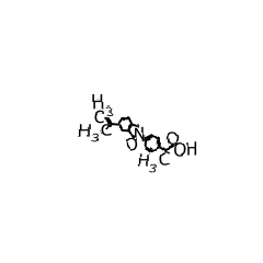 C/C=C(\C)c1ccc2c(c1)C(=O)N(c1ccc(C(C)C(=O)O)cc1)C2